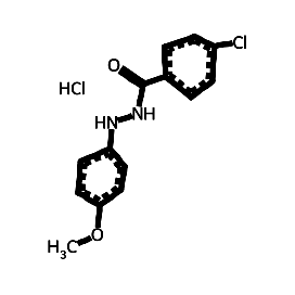 COc1ccc(NNC(=O)c2ccc(Cl)cc2)cc1.Cl